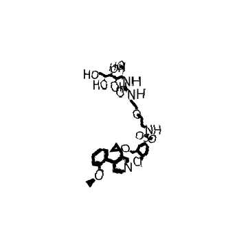 O=C(NCCOCCNS(=O)(=O)c1ccc(Cl)c(COC2(c3cnccc3-c3ccccc3OC3CC3)CC2)c1)N[C@@H](CO)[C@@H](O)[C@H](O)[C@H](O)CO